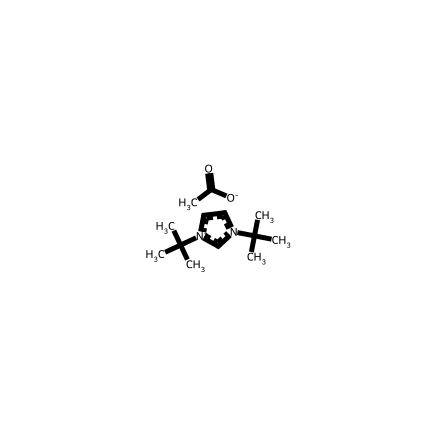 CC(=O)[O-].CC(C)(C)n1cc[n+](C(C)(C)C)c1